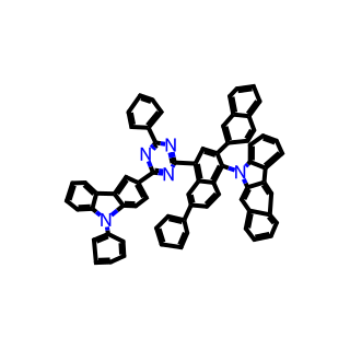 c1ccc(-c2ccc3c(-n4c5ccccc5c5cc6ccccc6cc54)c(-c4ccc5ccccc5c4)cc(-c4nc(-c5ccccc5)nc(-c5ccc6c(c5)c5ccccc5n6-c5ccccc5)n4)c3c2)cc1